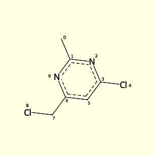 Cc1nc(Cl)cc(CCl)n1